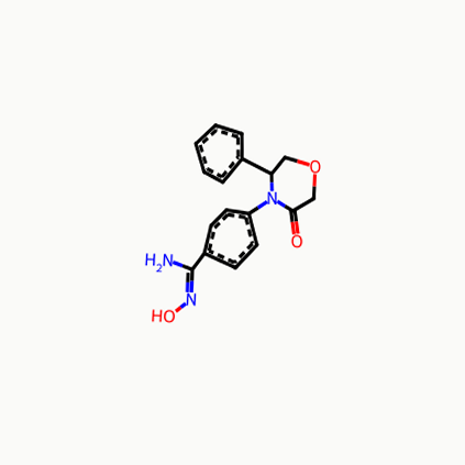 NC(=NO)c1ccc(N2C(=O)COCC2c2ccccc2)cc1